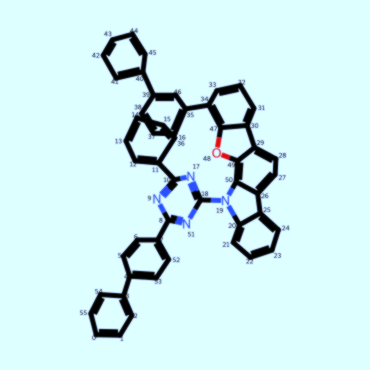 c1ccc(-c2ccc(-c3nc(-c4ccccc4)nc(-n4c5ccccc5c5ccc6c7cccc(-c8cccc(-c9ccccc9)c8)c7oc6c54)n3)cc2)cc1